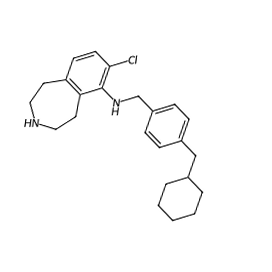 Clc1ccc2c(c1NCc1ccc(CC3CCCCC3)cc1)CCNCC2